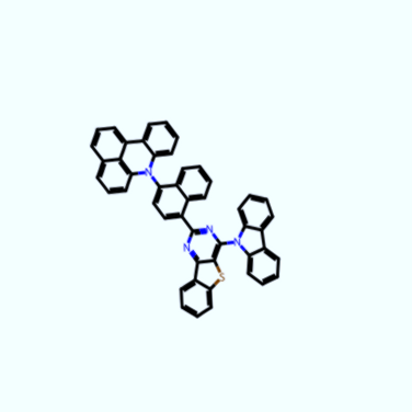 c1ccc2c(c1)-c1cccc3cccc(c13)N2c1ccc(-c2nc(-n3c4ccccc4c4ccccc43)c3sc4ccccc4c3n2)c2ccccc12